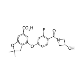 CC1(C)Cc2c(Oc3ccc(C(=O)N4CC(O)C4)c(F)c3)cc(C(=O)O)cc2O1